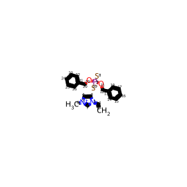 C=Cn1cc[n+](C)c1.S=P([S-])(OCc1ccccc1)OCc1ccccc1